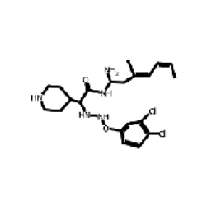 C/C=C\C=C(/C)CC(N)NC(=O)C(NNOc1ccc(Cl)c(Cl)c1)C1CCNCC1